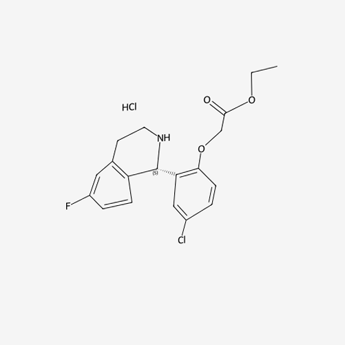 CCOC(=O)COc1ccc(Cl)cc1[C@H]1NCCc2cc(F)ccc21.Cl